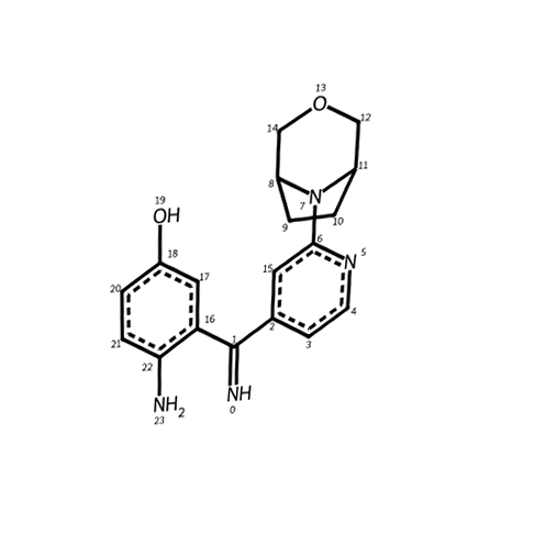 N=C(c1ccnc(N2C3CCC2COC3)c1)c1cc(O)ccc1N